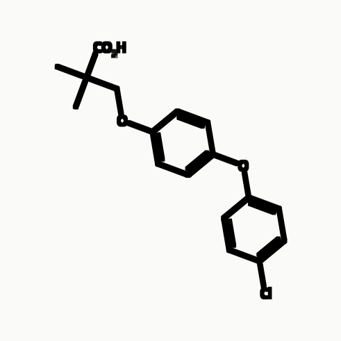 CC(C)(COc1ccc(Oc2ccc(Cl)cc2)cc1)C(=O)O